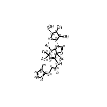 CC(=O)N1C2N([C@@H]3O[C@H](CO)C(O)C3O)C=NC2(C(C)=O)C(N[C@H](C)CSc2nncn2C)=NC1(Cl)C(C)=O